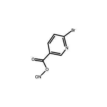 O=NOC(=O)c1ccc(Br)nc1